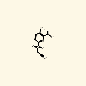 C#CCS(=O)(=O)c1ccc([N+](=O)[O-])c(NCC)n1